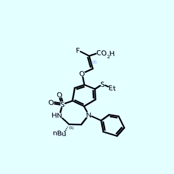 CCCC[C@H]1CN(c2ccccc2)c2cc(SCC)c(O/C=C(\F)C(=O)O)cc2S(=O)(=O)N1